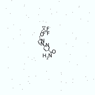 NC(=O)c1ccc(-n2ccc(COCC3(C(F)(F)F)CC3)n2)nc1